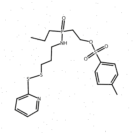 CCCP(=O)(CCOS(=O)(=O)c1ccc(C)cc1)NCCCSSc1ccccn1